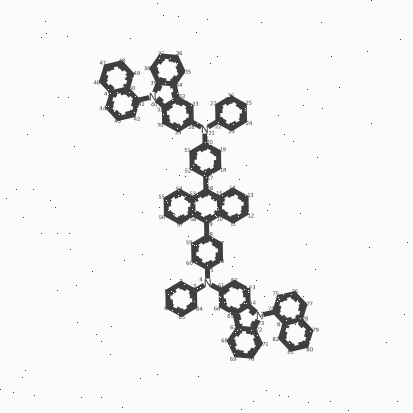 c1ccc(N(c2ccc(-c3c4ccccc4c(-c4ccc(N(c5ccccc5)c5ccc6c(c5)c5ccccc5n6-c5cccc6ccccc56)cc4)c4ccccc34)cc2)c2ccc3c(c2)c2ccccc2n3-c2cccc3ccccc23)cc1